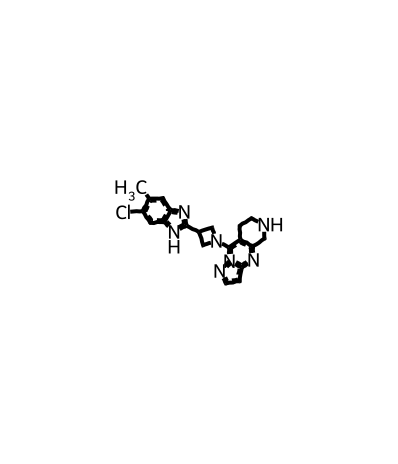 Cc1cc2nc(C3CN(c4c5c(nc6ccnn46)CNCC5)C3)[nH]c2cc1Cl